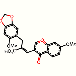 COc1ccc2c(=O)c(C=C(Cc3cc4c(cc3OC)OCO4)C(=O)O)coc2c1